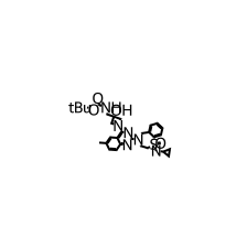 Cc1ccc2nc(N3CCS(=O)(=NC4CC4)c4ccccc4C3)nc(N3CC(O)(CNC(=O)OC(C)(C)C)C3)c2c1